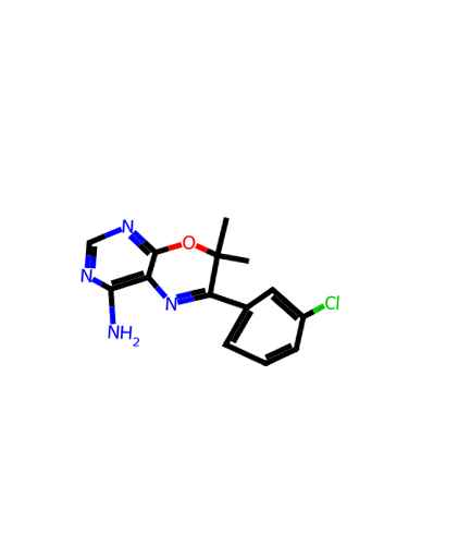 CC1(C)Oc2ncnc(N)c2N=C1c1cccc(Cl)c1